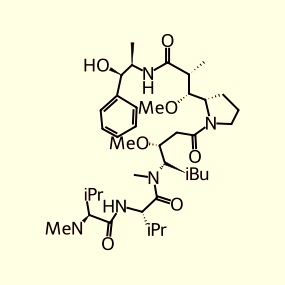 CC[C@H](C)[C@@H]([C@@H](CC(=O)N1CCC[C@H]1[C@H](OC)[C@@H](C)C(=O)N[C@H](C)[C@H](O)c1ccccc1)OC)N(C)C(=O)[C@@H](NC(=O)[C@@H](NC)C(C)C)C(C)C